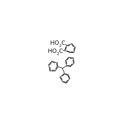 O=C(O)c1ccccc1C(=O)O.c1ccc(C(c2ccccc2)c2ccccc2)cc1